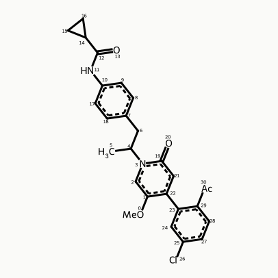 COc1cn(C(C)Cc2ccc(NC(=O)C3CC3)cc2)c(=O)cc1-c1cc(Cl)ccc1C(C)=O